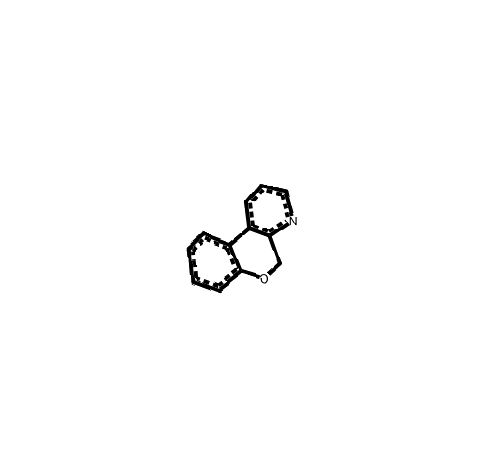 c1ccc2c(c1)OCc1ncccc1-2